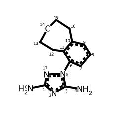 Nc1nc(N)n(-c2cccc3c2CCCCC3)n1